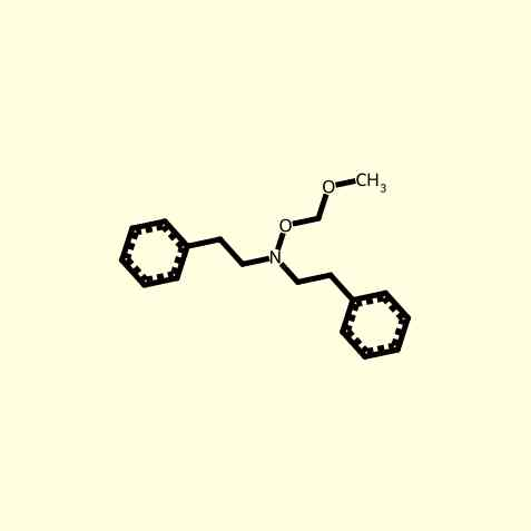 COCON(CCc1ccccc1)CCc1ccccc1